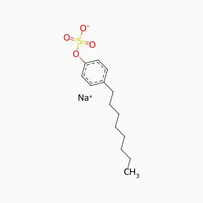 CCCCCCCCc1ccc(OS(=O)(=O)[O-])cc1.[Na+]